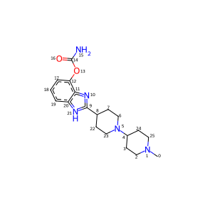 CN1CCC(N2CCC(c3nc4c(OC(N)=O)cccc4[nH]3)CC2)CC1